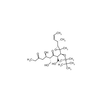 C/C=C\[C@H](C)[C@H]1OC1(C)[C@@H](O[Si](C)(C)C(C)(C)C)[C@@H](CO)C(=O)[C@H](CO)[C@H](O)CC(=O)CC